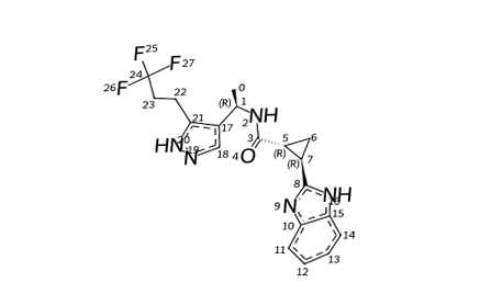 C[C@@H](NC(=O)[C@@H]1C[C@H]1c1nc2ccccc2[nH]1)c1cn[nH]c1CCC(F)(F)F